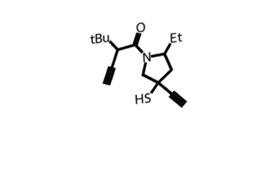 C#CC(C(=O)N1CC(S)(C#C)CC1CC)C(C)(C)C